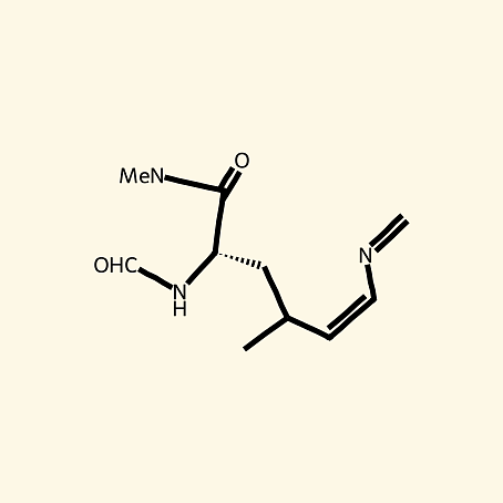 C=N/C=C\C(C)C[C@H](NC=O)C(=O)NC